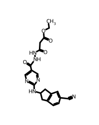 CCOC(=O)CC(=O)NNC(=O)c1cnc(NC2Cc3ccc(C#N)cc3C2)nc1